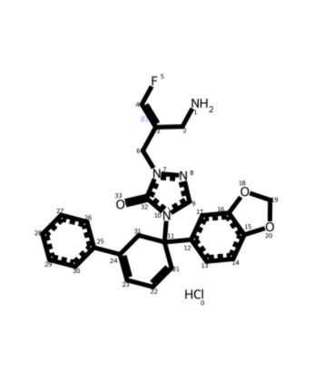 Cl.NC/C(=C\F)Cn1ncn(C2(c3ccc4c(c3)OCO4)C=CC=C(c3ccccc3)C2)c1=O